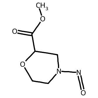 COC(=O)C1CN(N=O)CCO1